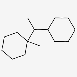 CC(C1CCCCC1)C1(C)CCCCC1